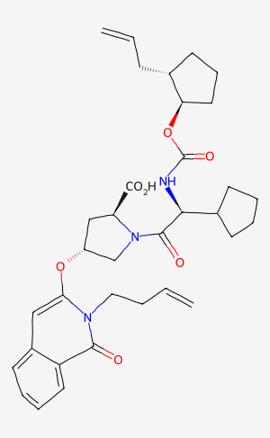 C=CCCn1c(O[C@@H]2C[C@@H](C(=O)O)N(C(=O)[C@@H](NC(=O)O[C@@H]3CCC[C@H]3CC=C)C3CCCC3)C2)cc2ccccc2c1=O